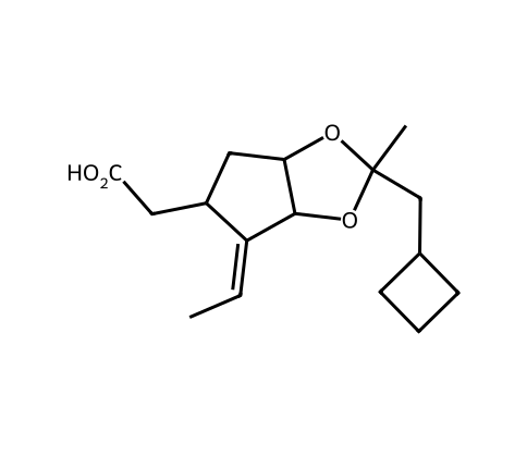 C/C=C1\C(CC(=O)O)CC2OC(C)(CC3CCC3)OC12